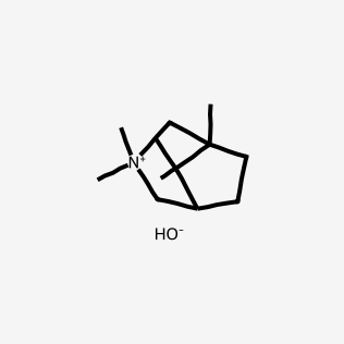 CC12CCC(C[N+](C)(C)C1)C2(C)C.[OH-]